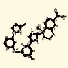 Cc1cc(Nc2cc(-n3ccc(C)n3)ccn2)nc(-c2cnc([C@]3(O)CCCc4cc(C(=O)O)ccc43)s2)c1